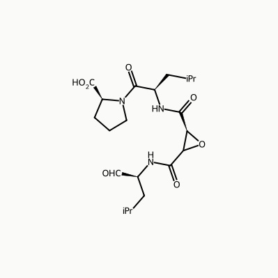 CC(C)C[C@@H](C=O)NC(=O)C1O[C@@H]1C(=O)N[C@H](CC(C)C)C(=O)N1CCC[C@H]1C(=O)O